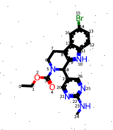 CCOC(=O)N1CCc2c([nH]c3ccc(Br)cc23)C1c1cnc(NC)nc1